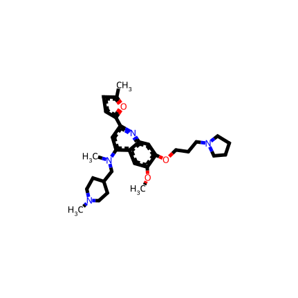 COc1cc2c(N(C)CC3CCN(C)CC3)cc(-c3ccc(C)o3)nc2cc1OCCCN1CCCC1